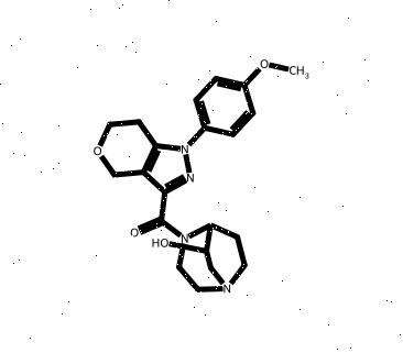 COc1ccc(-n2nc(C(=O)N3CCN4CCC3C(O)C4)c3c2CCOC3)cc1